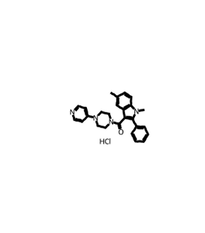 Cc1ccc2c(c1)c(C(=O)N1CCN(c3ccncc3)CC1)c(-c1ccccc1)n2C.Cl